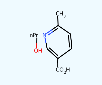 CCCO.Cc1ccc(C(=O)O)cn1